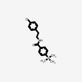 C[Si](C)(C)c1ccc(C(=O)NCCc2ccc(Cl)cc2)cc1